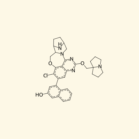 Oc1cc(-c2cc3nc(OCC45CCCN4CCC5)nc4c3c(c2Cl)OCC2C3CCC(CN42)N3)c2ccccc2c1